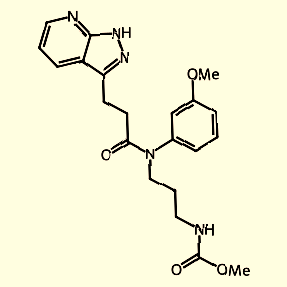 COC(=O)NCCCN(C(=O)CCc1n[nH]c2ncccc12)c1cccc(OC)c1